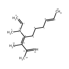 C=CN(C)/C(CCC/C=C/C)=C(\N)C(C)=N